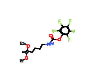 CCO[Si](C)(CCCCNC(=O)Oc1c(F)c(F)c(F)c(F)c1F)OCC